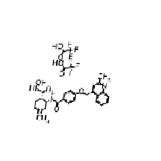 Cc1cc(COc2ccc(C(=O)N[C@@H]3CN(C)CC[C@@H]3C(=O)NO)cc2)c2ccccc2n1.O=C(O)C(F)(F)F.O=C(O)C(F)(F)F